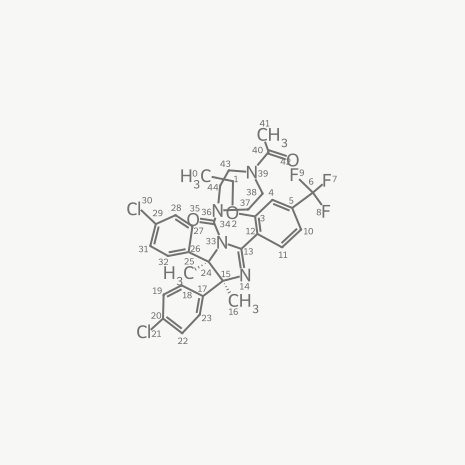 CCOc1cc(C(F)(F)F)ccc1C1=N[C@@](C)(c2ccc(Cl)cc2)[C@@](C)(c2ccc(Cl)cc2)N1C(=O)N1CCN(C(C)=O)CC1